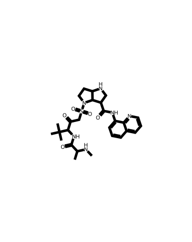 CNC(C)C(=O)NC(C(=O)CS(=O)(=O)N1CCC2NCC(C(=O)Nc3cccc4cccnc34)C21)C(C)(C)C